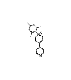 Cc1cc(C)c([N+]2(C)C=CC(c3ccncc3)=CC2)c(C)c1